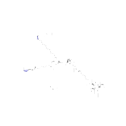 CCCCCCCC/C=C\CCCCCCCC(=O)OC[C@H](COP(=O)([O-])OCCNC(=O)CCCC[C@@H]1SC[C@@H]2NC(=O)N[C@@H]21)OC(=O)CCCCCCC/C=C\CCCCCCCC.[Na+]